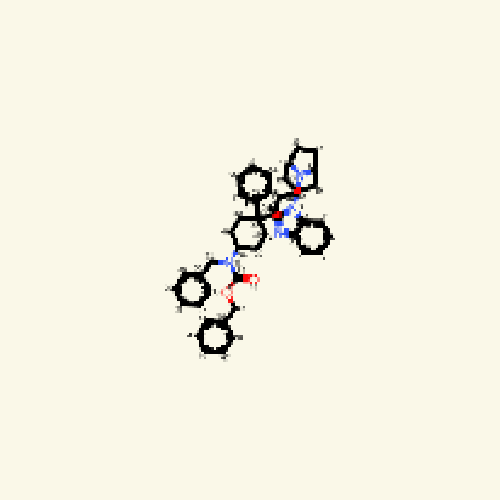 Cc1nc2ccccc2n1C1CC2CCC(C1)N2CCCC1(c2ccccc2)CCC(N(Cc2ccccc2)C(=O)OCc2ccccc2)CC1